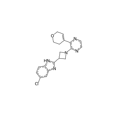 Clc1ccc2[nH]c(C3CN(c4nccnc4C4=CCOCC4)C3)nc2c1